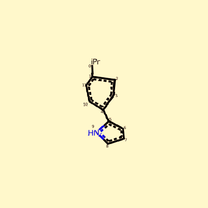 CC(C)c1ccc(-c2ccc[nH]2)cc1